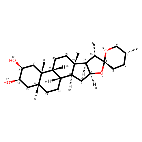 C[C@@H]1CC[C@@]2(OC1)O[C@H]1C[C@H]3[C@@H]4CC[C@@H]5C[C@@H](O)[C@@H](O)C[C@]5(C)[C@@H]4CC[C@]3(C)[C@H]1[C@@H]2C